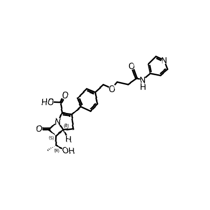 C[C@@H](O)[C@H]1C(=O)N2C(C(=O)O)=C(c3ccc(COCCC(=O)Nc4ccncc4)cc3)C[C@H]12